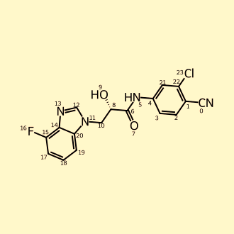 N#Cc1ccc(NC(=O)[C@@H](O)Cn2cnc3c(F)cccc32)cc1Cl